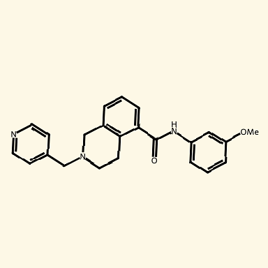 COc1cccc(NC(=O)c2cccc3c2CCN(Cc2ccncc2)C3)c1